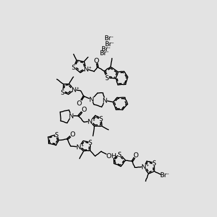 Cc1c(CCO)sc[n+]1CC(=O)c1cccs1.Cc1sc[n+](CC(=O)N2CCCC2)c1C.Cc1sc[n+](CC(=O)N2CCN(c3ccccc3)CC2)c1C.Cc1sc[n+](CC(=O)c2cccs2)c1C.Cc1sc[n+](CC(=O)c2sc3ccccc3c2C)c1C.[Br-].[Br-].[Br-].[Br-].[Br-]